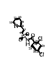 O=C(NS(=O)(=O)/C=C/c1ccccn1)c1ccc(Cl)cc1Cl